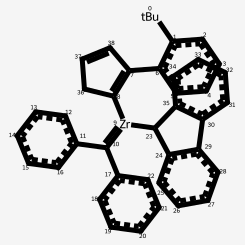 CC(C)(C)c1ccccc1C1=[C]([Zr](=[C](c2ccccc2)c2ccccc2)[CH]2c3ccccc3-c3ccccc32)CC=C1